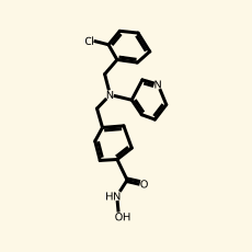 O=C(NO)c1ccc(CN(Cc2ccccc2Cl)c2cccnc2)cc1